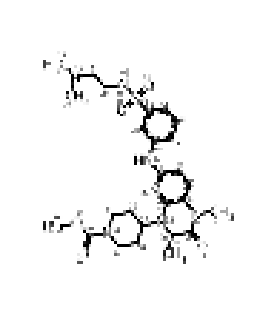 C[C@@H]1C(=O)N(C)c2ccc(Nc3cccc(S(=O)(=O)NCCN(C)C)c3)nc2N1C1CCN(C(=O)OC(C)(C)C)CC1